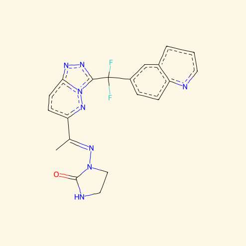 CC(=NN1CCNC1=O)c1ccc2nnc(C(F)(F)c3ccc4ncccc4c3)n2n1